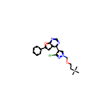 C[Si](C)(C)CCOCn1cc(-c2ncnc3oc(-c4ccccc4)cc23)c(Br)n1